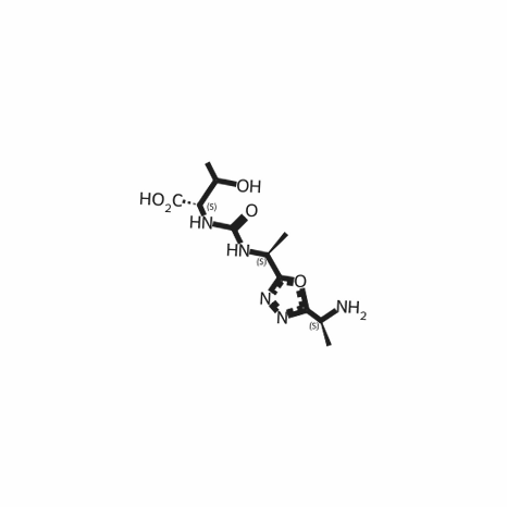 CC(O)[C@H](NC(=O)N[C@@H](C)c1nnc([C@H](C)N)o1)C(=O)O